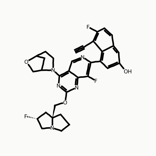 C#Cc1c(F)ccc2cc(O)cc(-c3ncc4c(N5CCC6CC5CO6)nc(OC[C@@]56CCCN5C[C@H](F)C6)nc4c3F)c12